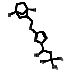 CC(C)(C)OC(O)n1ccc(OCC2C[C@@H]3CC[C@H]2C3)n1